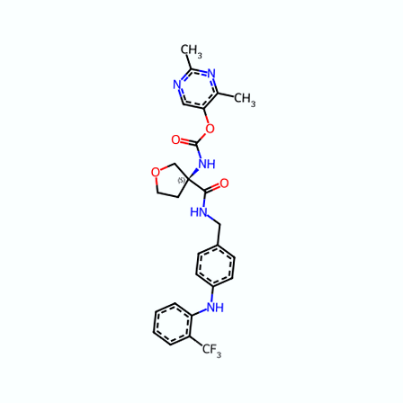 Cc1ncc(OC(=O)N[C@@]2(C(=O)NCc3ccc(Nc4ccccc4C(F)(F)F)cc3)CCOC2)c(C)n1